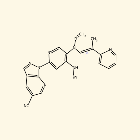 C=NN(/C=C(\C)c1ccccn1)c1cnc(-n2ncc3cc(C#N)cnc32)cc1NC(C)C